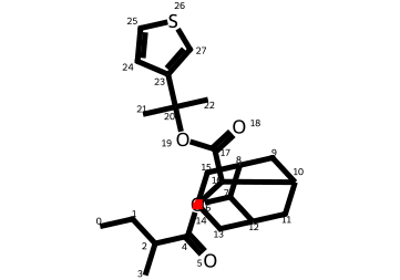 CCC(C)C(=O)OC1C2CC3CC1CC(C2)C3C(=O)OC(C)(C)c1ccsc1